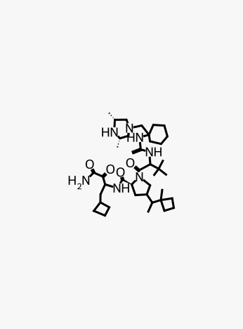 C=C(NC(C(=O)N1CC(C(C)C2(C)CCC2)C[C@H]1C(=O)NC(CC1CCC1)C(=O)C(N)=O)C(C)(C)C)NC1(CN2C[C@@H](C)N[C@@H](C)C2)CCCCC1